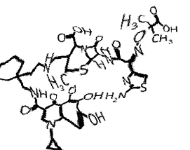 C[C@@H]1S[C@@H]2[C@H](NC(=O)/C(=N\OC(C)(C)C(=O)O)c3csc(N)n3)C(=O)N2C(C(=O)O)C1CNCCC1(CNC(=O)c2cn(C3CC3)c3cc(O)c(O)c(Cl)c3c2=O)CCCCC1